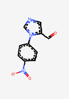 O=Cc1cncn1-c1ccc([N+](=O)[O-])cc1